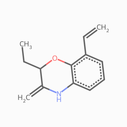 C=Cc1cccc2c1OC(CC)C(=C)N2